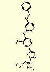 C[C@](N)(CC(=O)O)c1ncc(-c2ccc(Sc3cccc(OCc4ccccc4)c3)c(C(F)(F)F)c2)s1